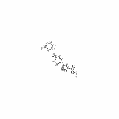 CCOC(=O)c1cc(-c2ccc(OCc3cccc(F)c3)cc2)no1